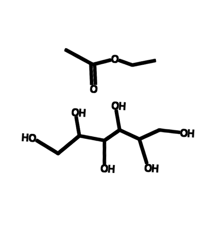 CCOC(C)=O.OCC(O)C(O)C(O)C(O)CO